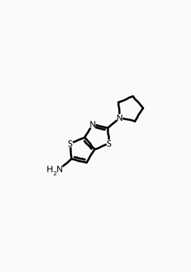 Nc1cc2sc(N3CCCC3)nc2s1